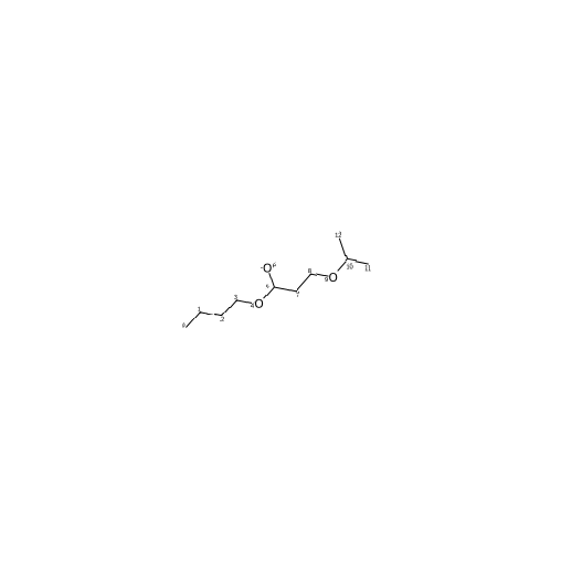 CCCCOC([O])CCOC(C)C